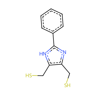 SCc1nc(-c2ccccc2)[nH]c1CS